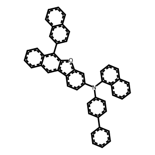 c1ccc(-c2ccc(N(c3ccc4c(c3)oc3c(-c5ccc6ccccc6c5)c5ccccc5cc34)c3cccc4ccccc34)cc2)cc1